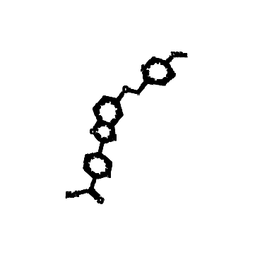 CNC(=O)c1ccc(-c2nc3cc(OCc4ccc(OC)cn4)ccc3o2)cn1